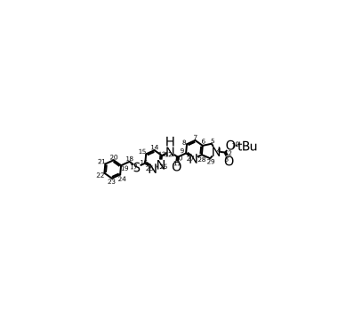 CC(C)(C)OC(=O)N1Cc2ccc(C(=O)Nc3ccc(SCc4ccccc4)nn3)nc2C1